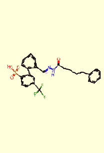 O=C(CCCCc1ccccc1)N/N=C/c1ccccc1-c1cc(C(F)(F)F)ccc1S(=O)(=O)O